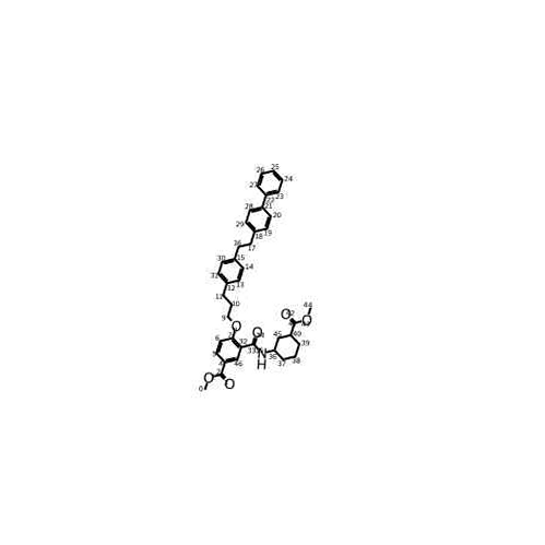 COC(=O)c1ccc(OCCCc2ccc(CCc3ccc(-c4ccccc4)cc3)cc2)c(C(=O)NC2CCCC(C(=O)OC)C2)c1